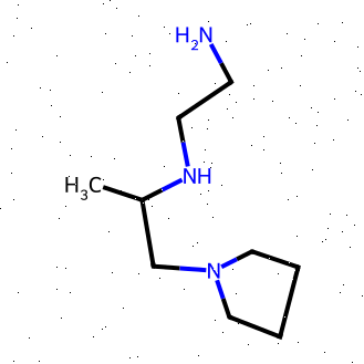 CC(CN1CCCC1)NCCN